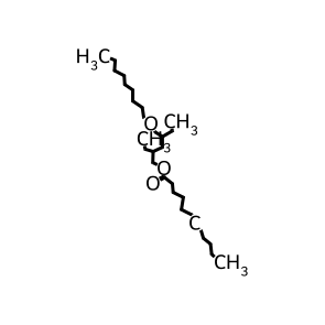 CCCCCCCCCCCC(=O)OCC(CC)CC(CC)COCCCCCCCCC